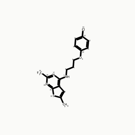 Cc1cc2c(NCCCOc3ccc(Cl)cc3)nc(C(F)(F)F)nc2s1